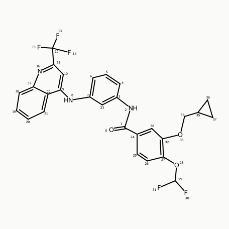 O=C(Nc1cccc(Nc2cc(C(F)(F)F)nc3ccccc23)c1)c1ccc(OC(F)F)c(OCC2CC2)c1